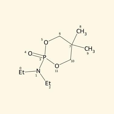 CCN(CC)P1(=O)OCC(C)(C)CO1